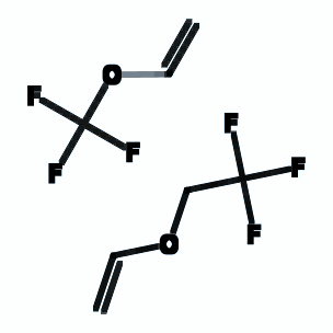 C=COC(F)(F)F.C=COCC(F)(F)F